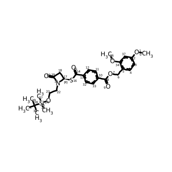 COc1ccc(COC(=O)c2ccc(C(=O)S[C@@H]3CC(=O)N3CCO[Si](C)(C)C(C)(C)C)cc2)c(OC)c1